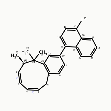 C[C@@H]1/C=C\C=C/Cc2ccc(-c3ccc(I)c4ccccc34)cc2C1(C)C